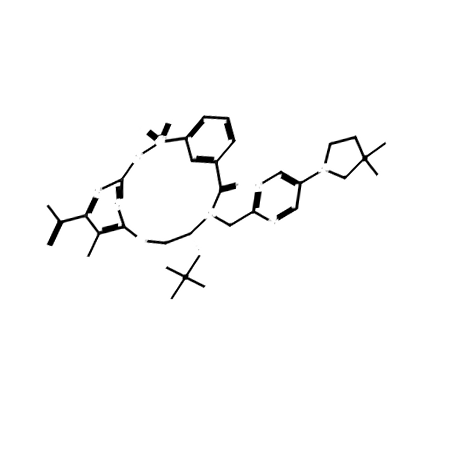 C=C(C)c1nc2nc(c1C)OC[C@@H](CC(C)(C)C)N(Cc1ncc(N3CCC(C)(C)C3)cn1)C(=O)c1cccc(c1)S(=O)(=O)N2